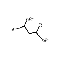 CCCC(CC)CC(CCC)CCC